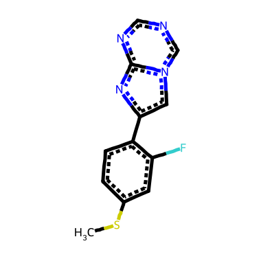 CSc1ccc(-c2cn3cncnc3n2)c(F)c1